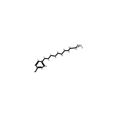 Cc1ccc(CCCCCCCCCCN)cc1